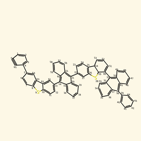 c1cccc(-c2ccc3sc4ccc(-c5c6ccccc6c(-c6ccc7c(c6)SC6C(c8c9ccccc9c(-c9ccccc9)c9ccccc89)=CC=CC76)c6ccccc56)cc4c3c2)c#1